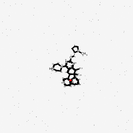 CN1CCC[C@H]1COc1nc(N2CCNCC2)c2c(n1)=C(F)C(F)(c1ccccc1)C(c1cccnc1)C=2